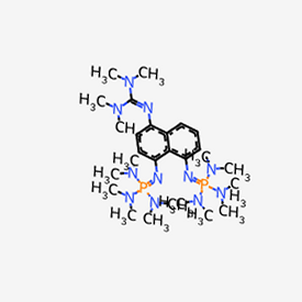 CN(C)C(=Nc1ccc(N=P(N(C)C)(N(C)C)N(C)C)c2c(N=P(N(C)C)(N(C)C)N(C)C)cccc12)N(C)C